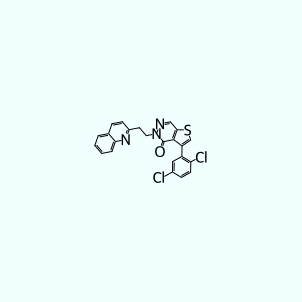 O=c1c2c(-c3cc(Cl)ccc3Cl)csc2cnn1CCc1ccc2ccccc2n1